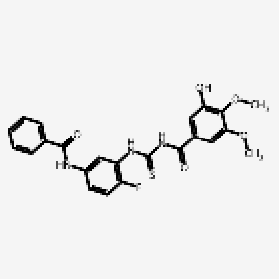 COc1cc(C(=O)NC(=S)Nc2cc(NC(=O)c3ccccc3)ccc2F)cc(O)c1OC